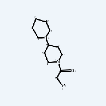 CC(C)CC(=O)N1CCC(N2CCCCC2)CC1